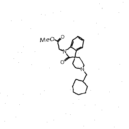 COC(=O)CN1C(=O)C2(CCN(CC3CCCCCC3)CC2)c2ccccc21